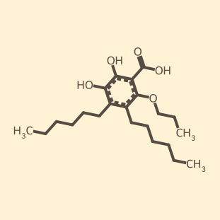 CCCCCCc1c(O)c(O)c(C(=O)O)c(OCCC)c1CCCCCC